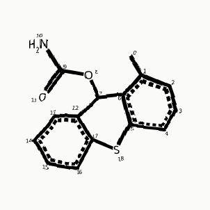 Cc1cccc2c1C(OC(N)=O)c1ccccc1S2